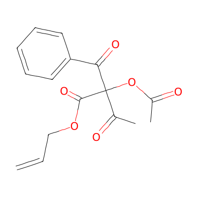 C=CCOC(=O)C(OC(C)=O)(C(C)=O)C(=O)c1ccccc1